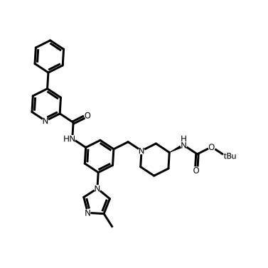 Cc1cn(-c2cc(CN3CCC[C@H](NC(=O)OC(C)(C)C)C3)cc(NC(=O)c3cc(-c4ccccc4)ccn3)c2)cn1